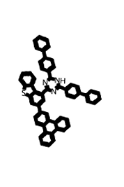 C1=CC(c2ccccc2)CC=C1C1N=C(c2cc(-c3ccc4c5ccccc5c5ccccc5c4c3)cc3sc4ccccc4c23)N=C(c2ccc(-c3ccccc3)cc2)N1